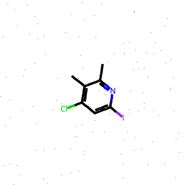 Cc1nc(I)cc(Cl)c1C